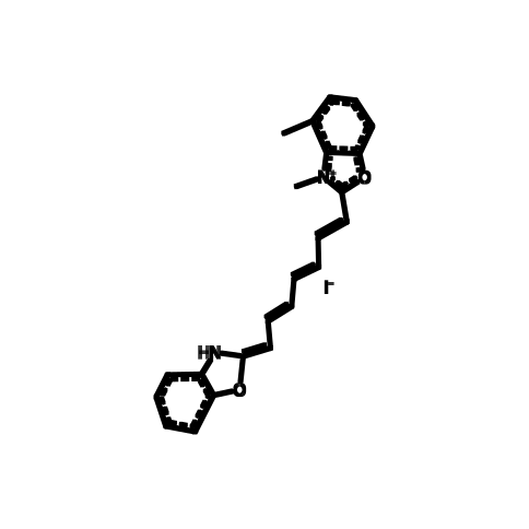 Cc1cccc2oc(C=CC=CC=CC=C3Nc4ccccc4O3)[n+](C)c12.[I-]